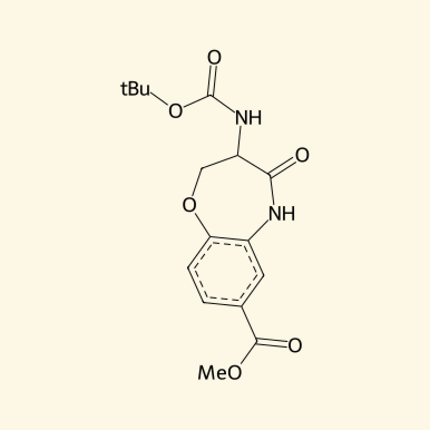 COC(=O)c1ccc2c(c1)NC(=O)C(NC(=O)OC(C)(C)C)CO2